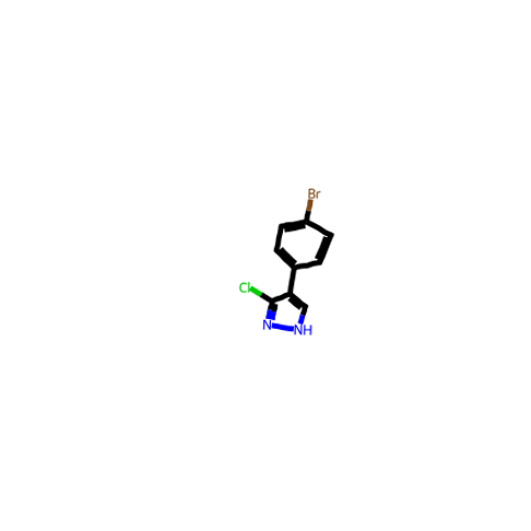 Clc1n[nH]cc1-c1ccc(Br)cc1